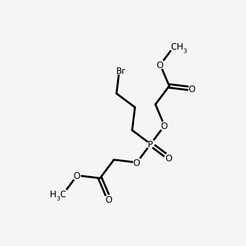 COC(=O)COP(=O)(CCCBr)OCC(=O)OC